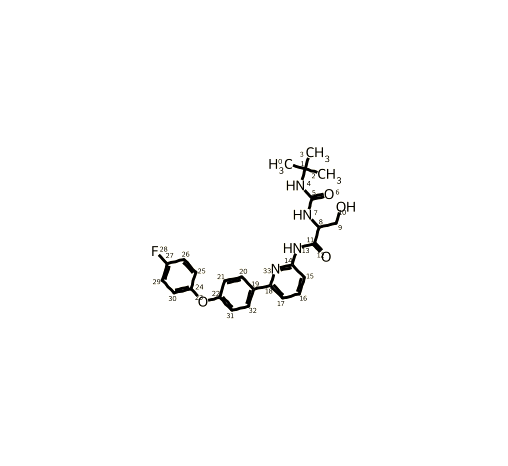 CC(C)(C)NC(=O)NC(CO)C(=O)Nc1cccc(-c2ccc(Oc3ccc(F)cc3)cc2)n1